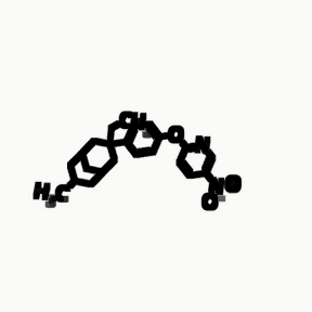 CCC1(c2ccc(Oc3ccc([N+](=O)[O-])cn3)cc2)CC2CC(C)CC(C2)C1